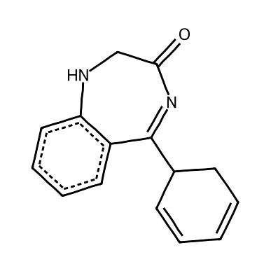 O=C1CNc2ccccc2C(C2C=CC=CC2)=N1